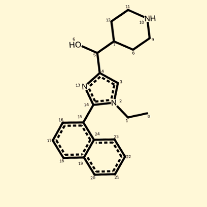 CCn1cc(C(O)C2CCNCC2)nc1-c1cccc2ccccc12